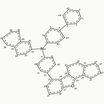 c1ccc(-c2ccc(N(c3ccc(-c4cccc5oc6c7ccccc7ccc6c45)cc3)c3ccc4ccccc4c3)cc2)cc1